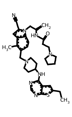 C=C(Cn1c(C#N)cc2c(C)c(CN3CCC(Nc4ncnc5sc(CC)cc45)CC3)ccc21)NC(=O)CCN1CCCC1